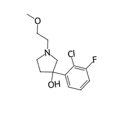 COCCN1CCC(O)(c2cccc(F)c2Cl)C1